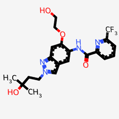 CC(C)(O)CCn1cc2cc(NC(=O)c3cccc(C(F)(F)F)n3)c(OCCO)cc2n1